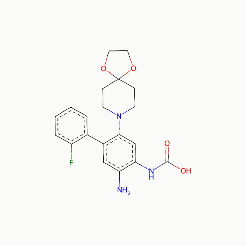 Nc1cc(-c2ccccc2F)c(N2CCC3(CC2)OCCO3)cc1NC(=O)O